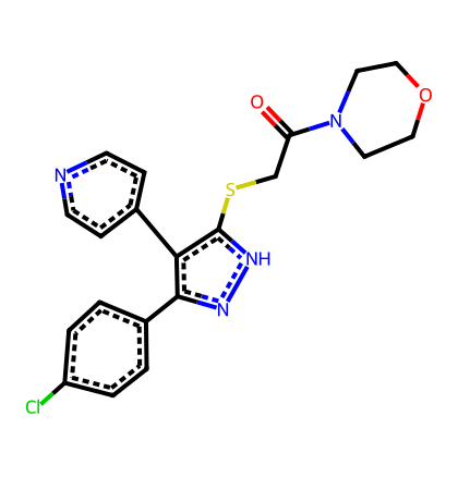 O=C(CSc1[nH]nc(-c2ccc(Cl)cc2)c1-c1ccncc1)N1CCOCC1